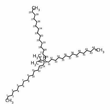 CCCCCCCCCCCCCCC[PH](CCCCCCCCCCCCCCC)(CCCCCCCCCCCCCCC)C(C)C